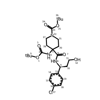 CC(C)(C)OC(=O)NC1(C(=O)N[C@@H](CCO)c2ccc(Cl)cc2)CCN(C(=O)OC(C)(C)C)CC1